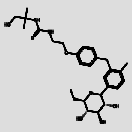 CS[C@H]1OC(c2ccc(C)c(Cc3ccc(OCCNC(=O)NC(C)(C)CO)cc3)c2)[C@H](O)[C@@H](O)[C@@H]1O